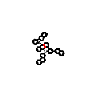 C1=c2ccccc2=CC2C1c1ccccc1N2c1ccc(N(c2ccc3c(ccc4ccccc43)c2)c2ccc(-c3ccc4ccccc4c3)cc2-c2ccccc2)c2ccccc12